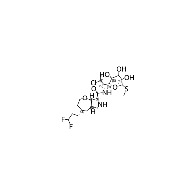 CSC1O[C@H]([C@H](NC(=O)[C@H]2NC[C@@H]3C[C@H](CCC(F)F)CCO[C@H]32)[C@H](C)Cl)[C@@H](O)C(O)[C@H]1O